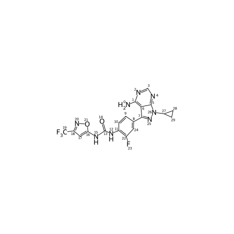 Nc1ncnc2c1c(-c1ccc(NC(=O)Nc3cc(C(F)(F)F)no3)c(F)c1)nn2C1CC1